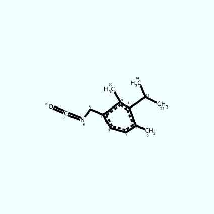 Cc1ccc(CN=C=O)c(C)c1C(C)C